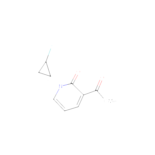 COC(=O)c1cccn([C@@H]2CC2F)c1=O